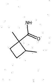 CC1CCC1(C)C([NH])=O